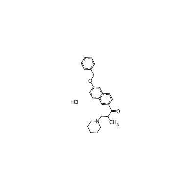 CC(CN1CCCCC1)C(=O)c1ccc2cc(OCc3ccccc3)ccc2c1.Cl